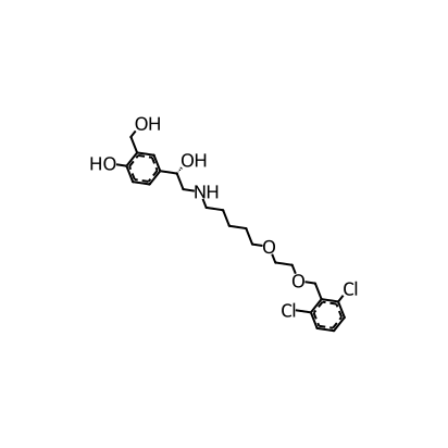 OCc1cc([C@H](O)CNCCCCCOCCOCc2c(Cl)cccc2Cl)ccc1O